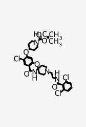 CC(C)(C)OC(=O)N1CCC(Oc2cc3c(cc2Cl)C(=O)NC2(CCN(CCNC(=O)c4c(Cl)cccc4Cl)CC2)O3)CC1